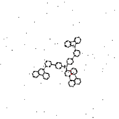 c1ccc(-c2cccc3cccc(-c4ccc(N(c5ccc(-c6cccc(-c7cc8ccccc8c8ccccc78)c6)cc5)c5ccc(-c6cccc(-n7c8ccccc8c8ccccc87)c6)cc5)cc4)c23)cc1